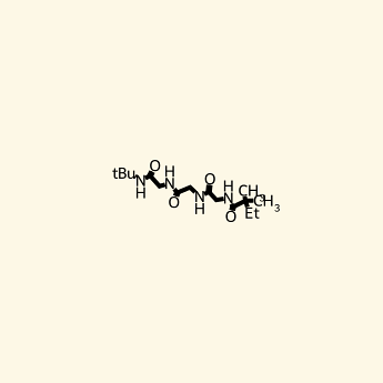 CCC(C)(C)C(=O)NCC(=O)NCC(=O)NCC(=O)NC(C)(C)C